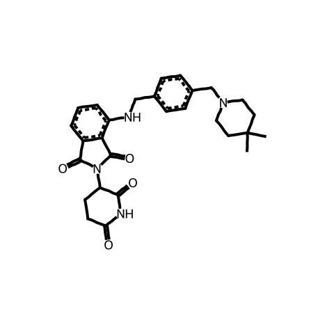 CC1(C)CCN(Cc2ccc(CNc3cccc4c3C(=O)N(C3CCC(=O)NC3=O)C4=O)cc2)CC1